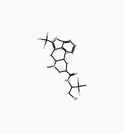 CN1CC(C(=O)NC(CO)C(C)(F)F)CC2c3cccc4[nH]c(C(F)(F)F)c(c34)CC21